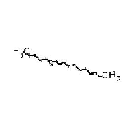 CCCCCCCCCC[CH]SCCCCC